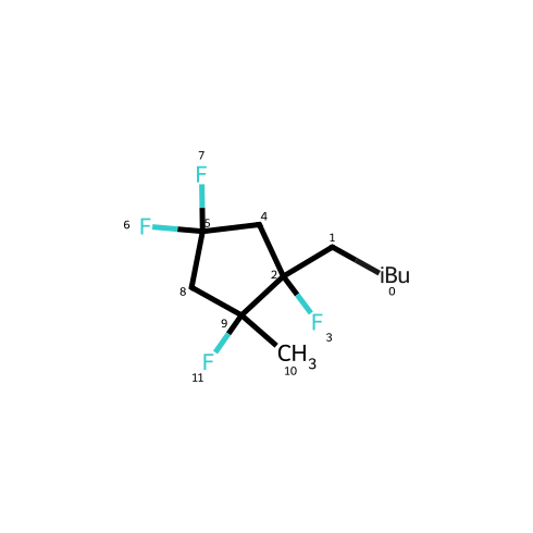 CCC(C)CC1(F)CC(F)(F)CC1(C)F